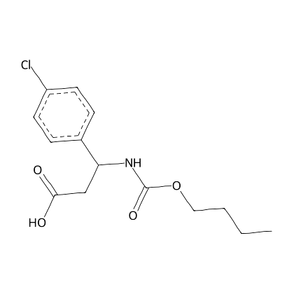 CCCCOC(=O)NC(CC(=O)O)c1ccc(Cl)cc1